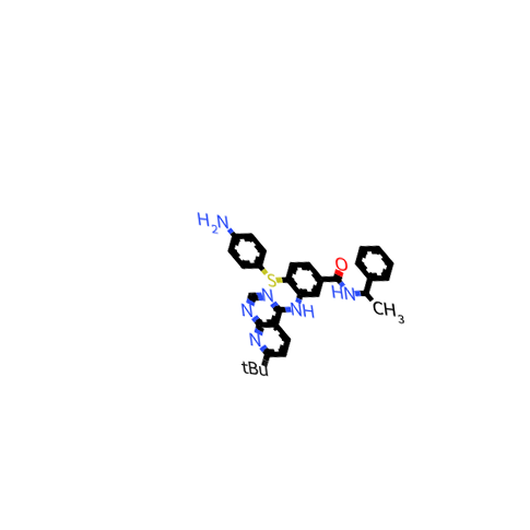 CC(NC(=O)c1ccc(Sc2ccc(N)cc2)c(Nc2ncnc3nc(C(C)(C)C)ccc23)c1)c1ccccc1